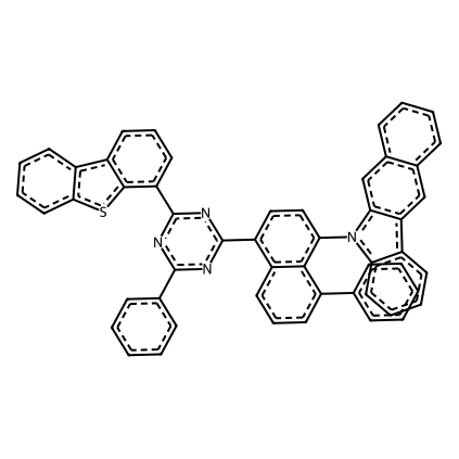 c1ccc(-c2nc(-c3ccc(-n4c5ccccc5c5cc6ccccc6cc54)c4c(-c5ccccc5)cccc34)nc(-c3cccc4c3sc3ccccc34)n2)cc1